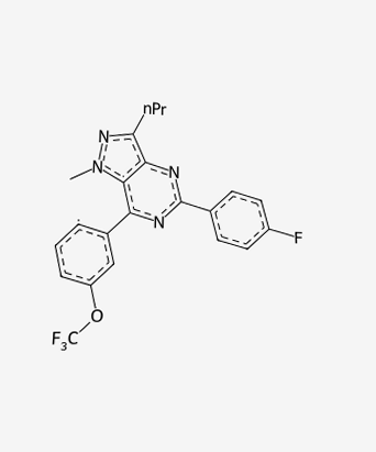 CCCc1nn(C)c2c(-c3[c]ccc(OC(F)(F)F)c3)nc(-c3ccc(F)cc3)nc12